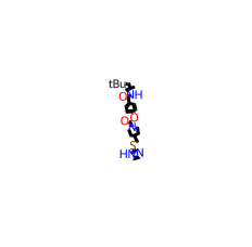 CC(C)(C)CC(C)(C)NC(=O)c1ccc(OC(=O)N2CCC(CSc3ncc[nH]3)CC2)cc1